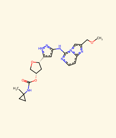 COCc1cn2c(Nc3cc([C@@H]4C[C@H](OC(=O)NC5(C)CC5)CO4)[nH]n3)nccc2n1